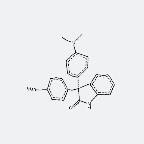 CN(C)c1ccc(C2(c3ccc(O)cc3)C(=O)Nc3ccccc32)cc1